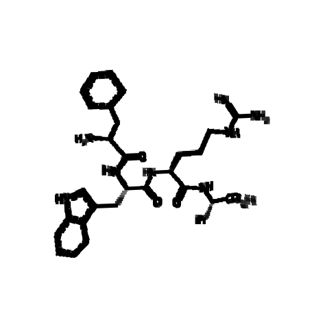 CC(C)[C@H](NC(=O)[C@H](CCCNC(=N)N)NC(=O)[C@H](Cc1c[nH]c2ccccc12)NC(=O)[C@@H](N)Cc1ccccc1)C(=O)O